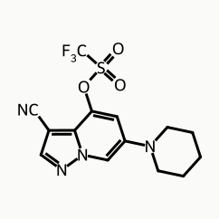 N#Cc1cnn2cc(N3CCCCC3)cc(OS(=O)(=O)C(F)(F)F)c12